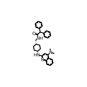 CN(C)c1cc(N[C@H]2CC[C@@H](CNC(=O)C(c3ccccc3)c3ccccc3)CC2)nc2ccccc12